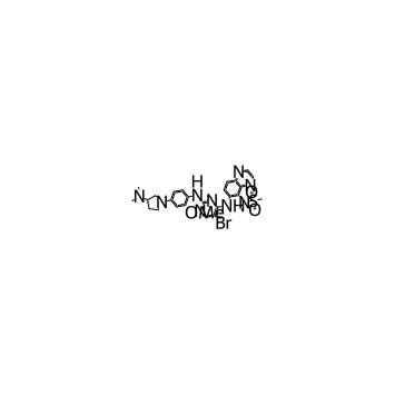 COc1cc(N2CCC(N(C)C)C2)ccc1Nc1ncc(Br)c(Nc2ccc3nccnc3c2N(C)S(C)(=O)=O)n1